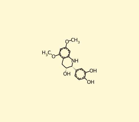 COc1cc2c(c(OC)c1)C[C@@H](O)[C@@H](c1ccc(O)c(O)c1)N2